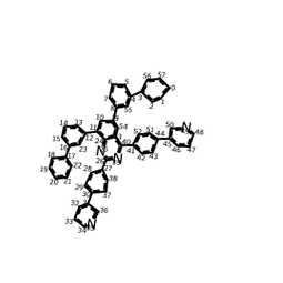 c1ccc(-c2cccc(-c3cc(-c4cccc(-c5ccccc5)c4)c4nc(-c5ccc(-c6cccnc6)cc5)nc(-c5ccc(-c6cccnc6)cc5)c4c3)c2)cc1